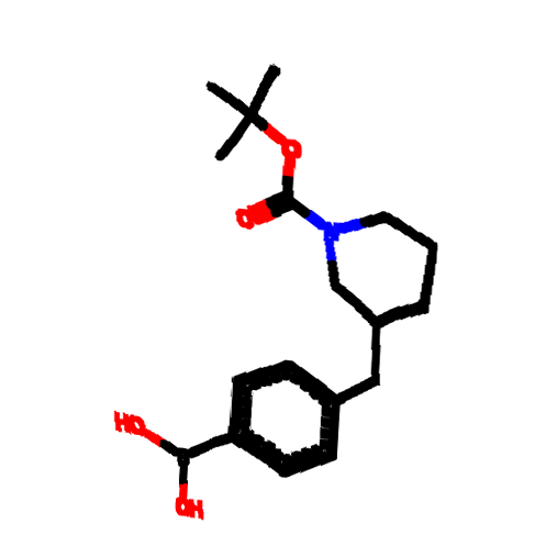 CC(C)(C)OC(=O)N1CCCC(Cc2ccc(B(O)O)cc2)C1